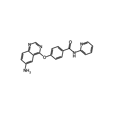 Nc1ccc2ncnc(Oc3ccc(C(=O)Nc4ccccn4)cc3)c2c1